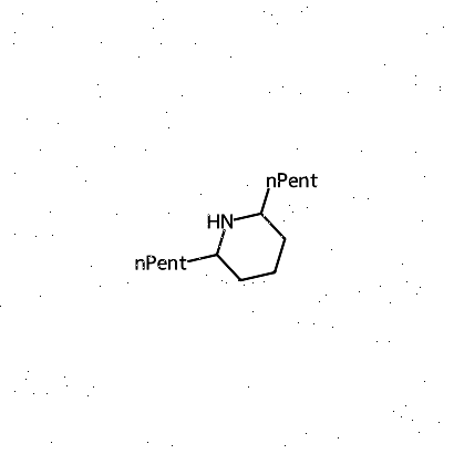 CCCCCC1CCCC(CCCCC)N1